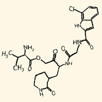 CC(C)C(N)C(=O)OCC(=O)C(CC1CCCNC1=O)NC(=O)CNC(=O)c1cc2cccc(Cl)c2[nH]1